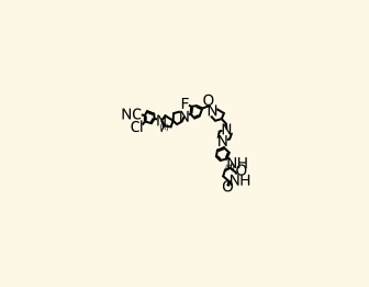 C[C@@H]1CC2(CCN(c3ccc(C(=O)N4CCC(CN5CCN(c6cccc(N[C@@H]7CCC(=O)NC7=O)c6)CC5)CC4)cc3F)CC2)CN1c1ccc(C#N)c(Cl)c1